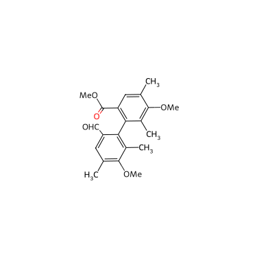 COC(=O)c1cc(C)c(OC)c(C)c1-c1c(C=O)cc(C)c(OC)c1C